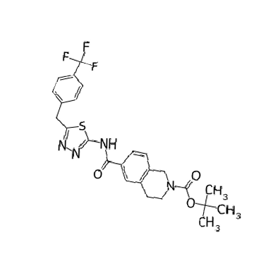 CC(C)(C)OC(=O)N1CCc2cc(C(=O)Nc3nnc(Cc4ccc(C(F)(F)F)cc4)s3)ccc2C1